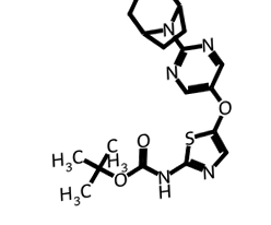 CC(C)(C)OC(=O)Nc1ncc(Oc2cnc(N3C4CCC3COC4)nc2)s1